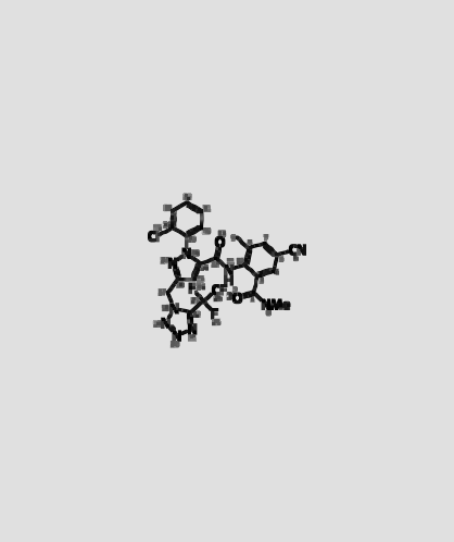 CNC(=O)c1cc(C#N)cc(C)c1NC(=O)c1cc(Cn2nnnc2C(F)(F)C(F)(F)F)nn1-c1ccccc1Cl